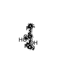 COc1ccc2nccc([C@@H](O)CC[C@@H]3CCN(CCCCc4c(F)cccc4F)C[C@@H]3CC(=O)O)c2c1